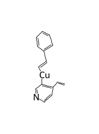 C=Cc1ccnc[c]1[Cu][CH]=Cc1ccccc1